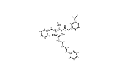 COc1cccc(CNC[C@@H](O)[C@H](Cc2ccccc2)NC(=O)OCCOCc2ccccc2)c1